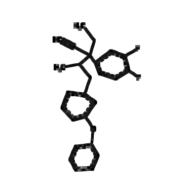 C#CC(CC)(c1ccc(F)c(F)c1)C(C)Cc1cccc(Oc2ccccc2)c1